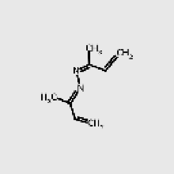 C=CC(C)=NN=C(C)C=C